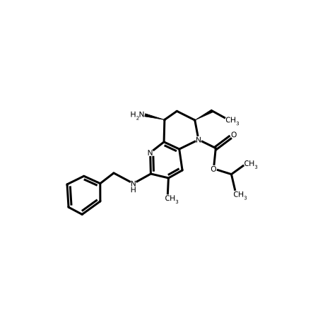 CC[C@@H]1C[C@H](N)c2nc(NCc3ccccc3)c(C)cc2N1C(=O)OC(C)C